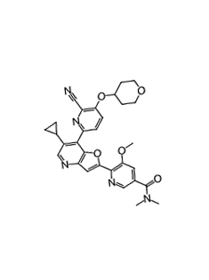 COc1cc(C(=O)N(C)C)cnc1-c1cc2ncc(C3CC3)c(-c3ccc(OC4CCOCC4)c(C#N)n3)c2o1